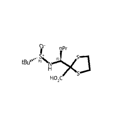 CCC[C@H](N[S@@+]([O-])C(C)(C)C)C1(C(=O)O)SCCS1